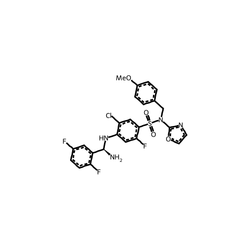 COc1ccc(CN(c2ncco2)S(=O)(=O)c2cc(Cl)c(N[C@@H](N)c3cc(F)ccc3F)cc2F)cc1